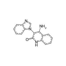 Nc1c(-n2cnc3ccccc32)c(=O)[nH]c2ccccc12